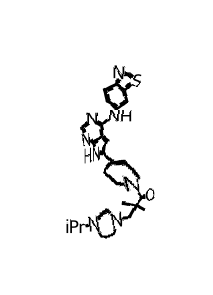 CC(C)N1CCN(CC(C)(C)C(=O)N2CC=C(c3cc4c(Nc5ccc6ncsc6c5)ncnc4[nH]3)CC2)CC1